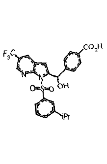 CC(C)c1cccc(S(=O)(=O)n2c(C(O)c3ccc(C(=O)O)cc3)cc3cc(C(F)(F)F)cnc32)c1